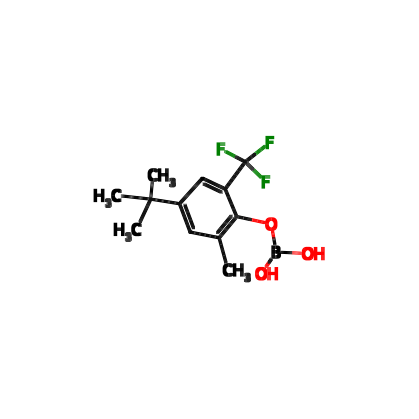 Cc1cc(C(C)(C)C)cc(C(F)(F)F)c1OB(O)O